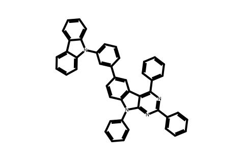 c1ccc(-c2nc(-c3ccccc3)c3c4cc(-c5cccc(-n6c7ccccc7c7ccccc76)c5)ccc4n(-c4ccccc4)c3n2)cc1